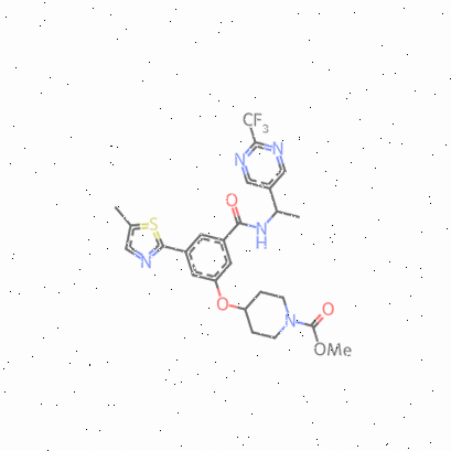 COC(=O)N1CCC(Oc2cc(C(=O)NC(C)c3cnc(C(F)(F)F)nc3)cc(-c3ncc(C)s3)c2)CC1